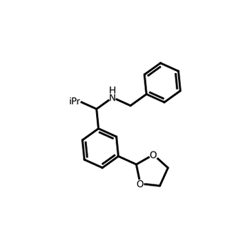 CC(C)C(NCc1ccccc1)c1cccc(C2OCCO2)c1